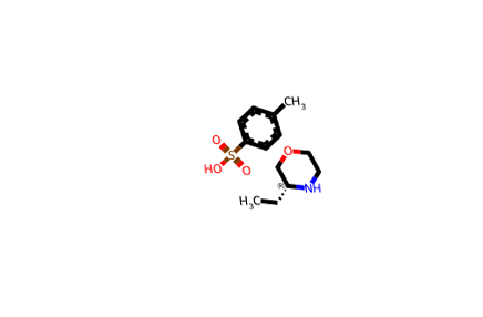 CC[C@@H]1COCCN1.Cc1ccc(S(=O)(=O)O)cc1